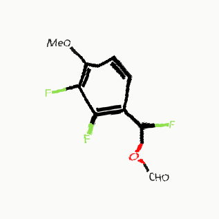 COc1ccc(C(F)OC=O)c(F)c1F